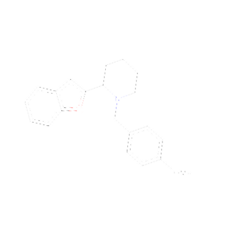 COc1ccc(CN2CCCCC2c2cc3ccccc3o2)cc1